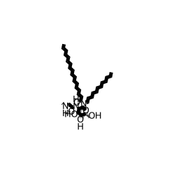 CCCCCCCCCCCCCCCCCC(=O)N(CCCCCCCCCCCC)[C@@H]1O[C@H](CO)[C@@H](O)[C@H](O)[C@H]1NC(=O)CNC